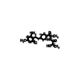 Cc1nc(N)c(CCC2CCN(C(=O)[C@H](C)NC(=O)C(C)O)CC2)c(Cl)n1